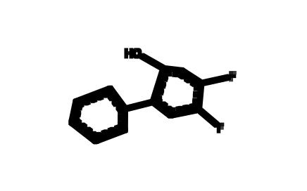 Oc1cc(F)c(F)cc1-c1ccccc1